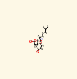 CC(C)=CCC/C(C)=C/[C@H]1OC(=O)CC12CC(=O)C=CC2=O